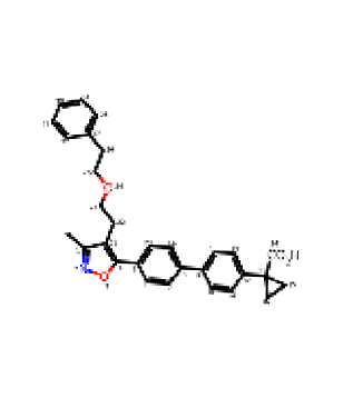 Cc1noc(-c2ccc(-c3ccc(C4(C(=O)O)CC4)cc3)cc2)c1CCOCCc1ccccc1